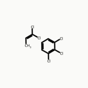 CC=C(Cl)Cl.Clc1cccc(Cl)c1Cl